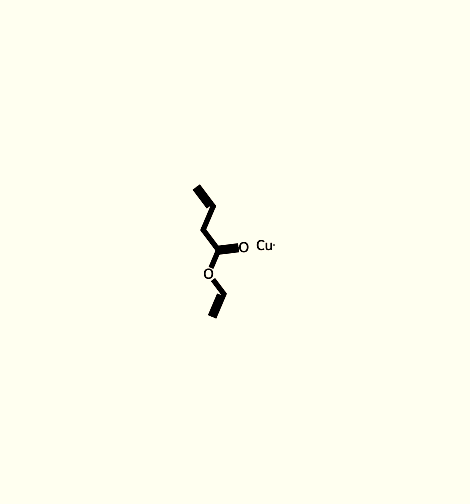 C=CCC(=O)OC=C.[Cu]